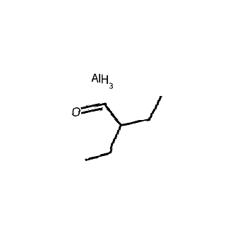 CCC(C=O)CC.[AlH3]